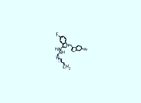 C=C/C=C/N=C\NNc1cn(CC2=CCc3cc(Br)ccc32)c2ccc(F)cc12